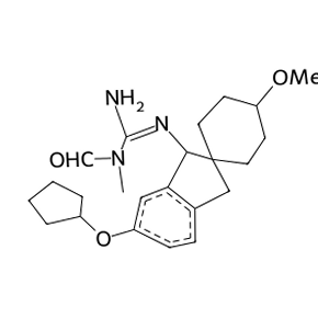 COC1CCC2(CC1)Cc1ccc(OC3CCCC3)cc1C2/N=C(/N)N(C)C=O